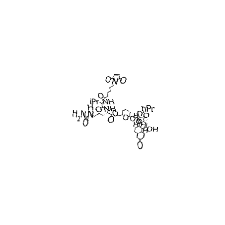 CCCC1O[C@@H]2C[C@H]3[C@@H]4CCC5=CC(=O)C=C[C@]5(C)[C@H]4[C@@H](O)C[C@]3(C)[C@]2(C(=O)COC2CCCC(COC(=O)[C@H](CCCNC(N)=O)NC(=O)C(NC(=O)CCCCCN3C(=O)C=CC3=O)C(C)C)O2)O1